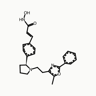 Cc1oc(-c2ccccc2)nc1CCN1CCC[C@H]1c1ccc(/C=C/C(=O)NO)cc1